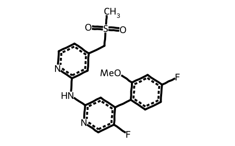 COc1cc(F)ccc1-c1cc(Nc2cc(CS(C)(=O)=O)ccn2)ncc1F